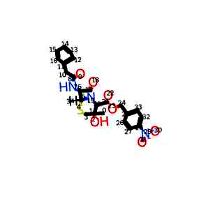 CC1(O)CS[C@@H]2C(NC(=O)Cc3ccccc3)C(=O)N2C1C(=O)OCc1ccc([N+](=O)[O-])cc1